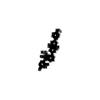 Cn1c(=O)n(C2CCC(=O)NC2=O)c2cccc(N3C[C@@H]4[C@H]5CN(c6ccc(N)nc6)C[C@H]5[C@@H]4C3)c21